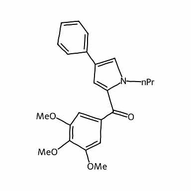 CCCn1cc(-c2ccccc2)cc1C(=O)c1cc(OC)c(OC)c(OC)c1